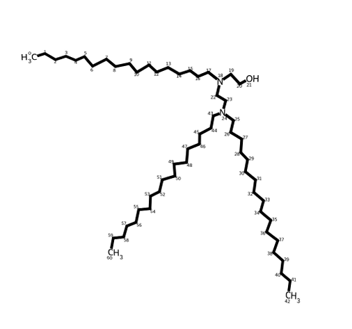 CCCCCCCCCCCCCCCCCCN(CCO)CCN(CCCCCCCCCCCCCCCCCC)CCCCCCCCCCCCCCCCCC